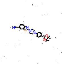 CC1(C)OB(c2ccc(N3CCN(c4nc5ccc(C#N)cc5s4)CC3)cc2)OC1(C)C